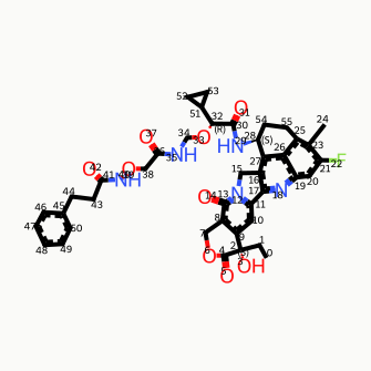 CC[C@@]1(O)C(=O)OCc2c1cc1n(c2=O)Cc2c-1nc1cc(F)c(C)c3c1c2[C@@H](NC(=O)[C@H](OCNC(=O)CONC(=O)CCc1ccccc1)C1CC1)CC3